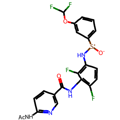 CC(=O)Nc1ccc(C(=O)Nc2c(F)ccc(N[S+]([O-])c3cccc(OC(F)F)c3)c2F)cn1